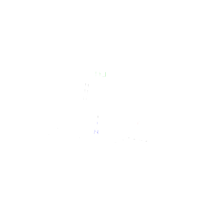 C=CCN(CC=C)CC1CO1.Cl